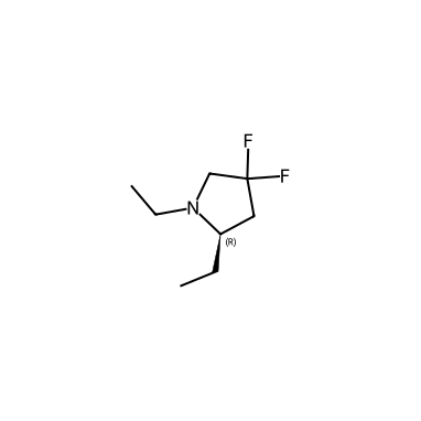 CC[C@@H]1CC(F)(F)CN1CC